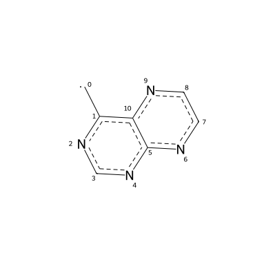 [CH2]c1ncnc2nccnc12